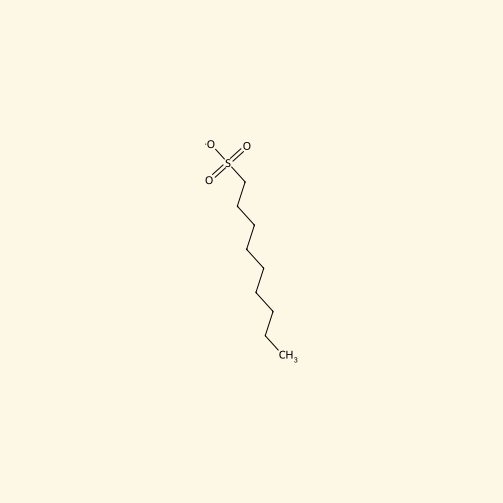 CCCCCCCCCS([O])(=O)=O